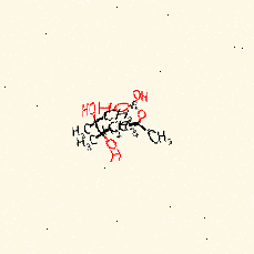 C=C(C)OB(O)O.CC(C)(O)C(C)(C)O